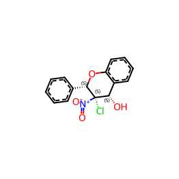 O=[N+]([O-])[C@]1(Cl)[C@@H](O)c2ccccc2O[C@H]1c1ccccc1